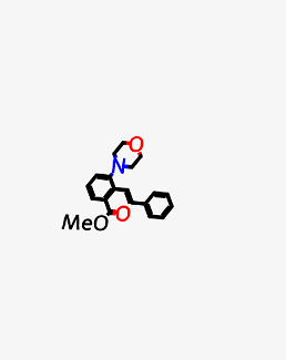 COC(=O)c1cccc(N2CCOCC2)c1C=Cc1ccccc1